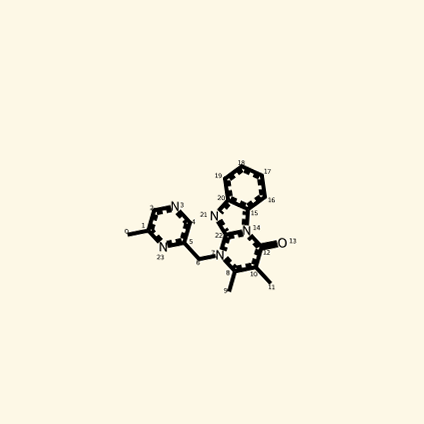 Cc1cncc(Cn2c(C)c(C)c(=O)n3c4ccccc4nc23)n1